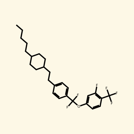 CCCCCC1CCC(CCc2ccc(C(F)(F)Oc3ccc(C(F)(F)F)c(F)c3)cc2)CC1